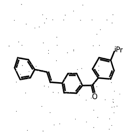 CC(C)c1ccc(C(=O)c2ccc(C=Cc3ccccc3)cc2)cc1